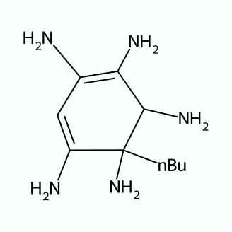 CCCCC1(N)C(N)=CC(N)=C(N)C1N